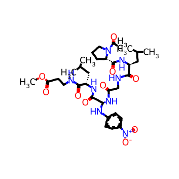 COC(=O)CCNC(=O)[C@H](CC(C)C)NC(=O)[C@@H](NC(=O)CNC(=O)[C@H](CC(C)C)NC(=O)[C@@H]1CCCN1C(C)=O)Nc1ccc([N+](=O)[O-])cc1